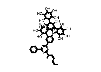 C/C=C\C=C/C(C)c1nc(-c2ccccc2)nc(-c2ccc(-n3c4cc(O)c(-c5c(O)c(O)c(O)c(O)c5O)c(O)c4c4c(O)c(O)c(O)c(O)c43)c(-c3c(O)bc(O)c(O)c3O)c2)n1